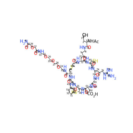 C#CCC(NC(C)=O)C(=O)NCCCC[C@@H]1NC(=O)CSC[C@@H](C(=O)NCCOCCOCCOCCNC(=O)COCC(N)=O)NC(=O)[C@H](Cc2ccccc2)NC(=O)C(CS)NC(=O)[C@H](CC(=O)O)NC(=O)CNC(=O)[C@H](CCCNC(=N)N)NC(=O)[C@H](CS)NC1=O